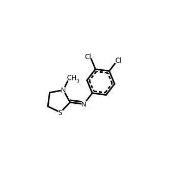 CN1CCSC1=Nc1ccc(Cl)c(Cl)c1